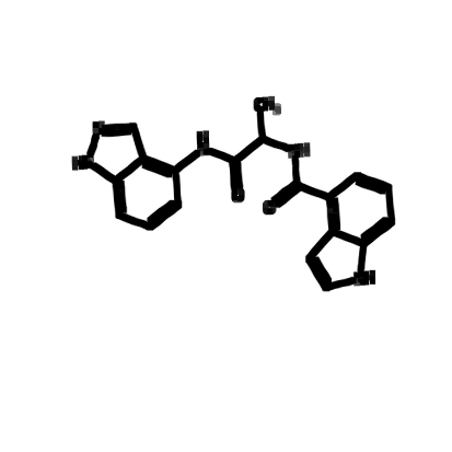 CC(NC(=O)c1cccc2[nH]ccc12)C(=O)Nc1cccc2[nH]ncc12